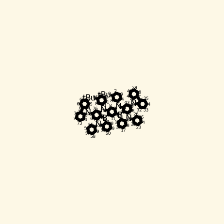 CC(C)(C)c1cccc(N2c3cc4c(cc3B3c5ccccc5N(c5ccccc5)c5cc(-n6c7ccccc7c7ccccc76)cc2c53)B2c3ccccc3N(c3ccccc3)c3cc(-n5c6ccccc6c6ccccc65)cc(c32)N4c2cccc(C(C)(C)C)c2)c1